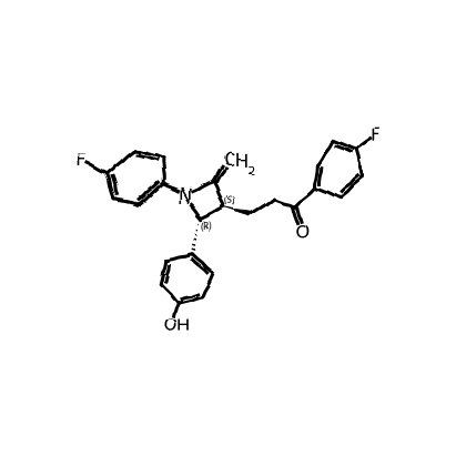 C=C1[C@@H](CCC(=O)c2ccc(F)cc2)[C@H](c2ccc(O)cc2)N1c1ccc(F)cc1